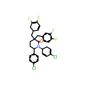 O=C1N(C2C=CC(Cl)=CC2)C(c2ccc(Cl)cc2)CCC1(Cc1ccc(F)c(F)c1)CC1C=CC(F)=C(F)C1